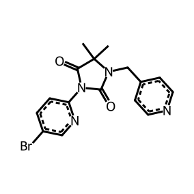 CC1(C)C(=O)N(c2ccc(Br)cn2)C(=O)N1Cc1ccncc1